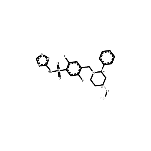 O=S(=O)(Nc1ncns1)c1cc(F)c(CN2CC[C@@H](OC(F)(F)F)C[C@@H]2c2ccccc2)cc1F